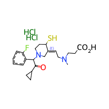 CN(C/C=C1\CN(C(C(=O)C2CC2)c2ccccc2F)CCC1S)CCC(=O)O.Cl.Cl